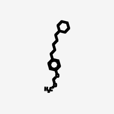 COCOc1ccc(CCCCCC2CCCCC2)cc1